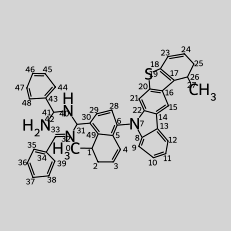 CC1CC=Cc2c(-n3c4ccccc4c4cc5c6c(sc5cc43)C=CCC6C)ccc(C(/N=C/c3ccccc3)NC(N)c3ccccc3)c21